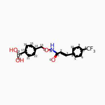 O=C(C=Cc1ccc(C(F)(F)F)cc1)NOCc1ccc(B(O)O)cc1